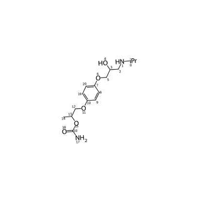 CC(C)NCC(O)COc1ccc(OCC(C)OC(N)=O)cc1